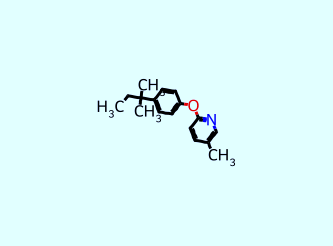 CCC(C)(C)c1ccc(Oc2ccc(C)cn2)cc1